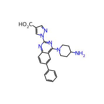 NC1CCN(c2nc(-n3cc(C(=O)O)cn3)nc3ccc(-c4ccccc4)cc23)CC1